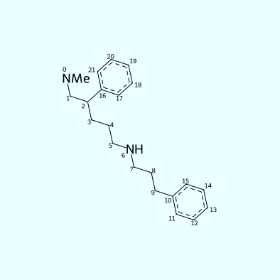 CNCC(CCCNCCCc1ccccc1)c1ccccc1